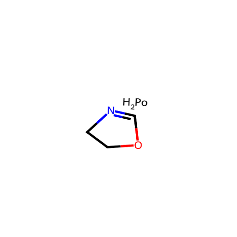 C1=NCCO1.[PoH2]